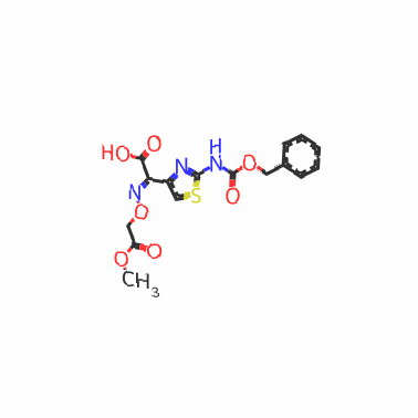 COC(=O)CO/N=C(/C(=O)O)c1csc(NC(=O)OCc2ccccc2)n1